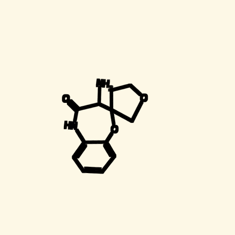 NC1C(=O)Nc2ccccc2OC12CCOC2